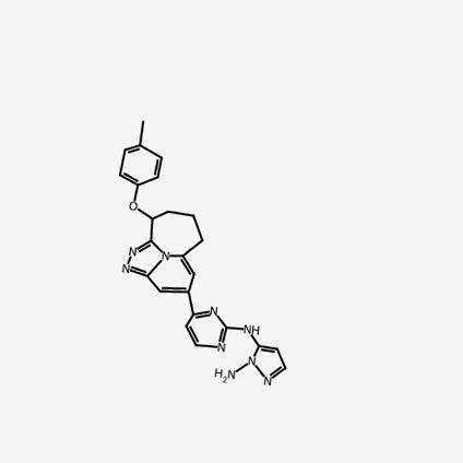 Cc1ccc(OC2CCCc3cc(-c4ccnc(Nc5ccnn5N)n4)cc4nnc2n34)cc1